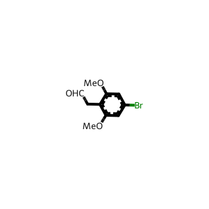 COc1cc(Br)cc(OC)c1CC=O